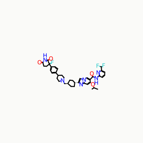 CC(C)Oc1cc2nc([C@H]3CC[C@H](CN4CCC(c5ccc(C6(F)CCC(=O)NC6=O)cc5)CC4)CC3)cn2cc1C(=O)Nc1cccc(C(F)F)n1